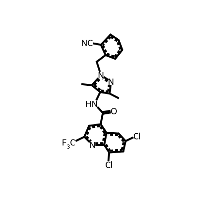 Cc1nn(Cc2ccccc2C#N)c(C)c1NC(=O)c1cc(C(F)(F)F)nc2c(Cl)cc(Cl)cc12